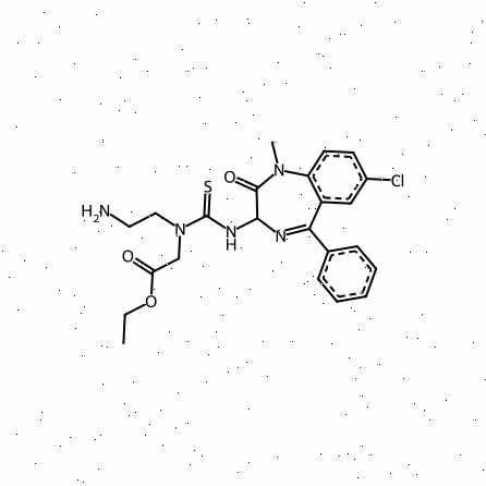 CCOC(=O)CN(CCN)C(=S)NC1N=C(c2ccccc2)c2cc(Cl)ccc2N(C)C1=O